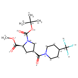 COC(=O)[C@@H]1C[C@H](C(=O)N2CCC(C(F)(F)F)CC2)CN1C(=O)OC(C)(C)C